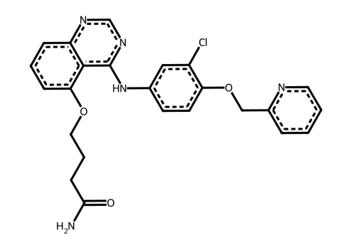 NC(=O)CCCOc1cccc2ncnc(Nc3ccc(OCc4ccccn4)c(Cl)c3)c12